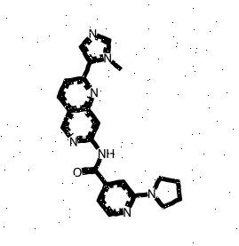 Cn1cncc1-c1ccc2cnc(NC(=O)c3ccnc(N4CCCC4)c3)cc2n1